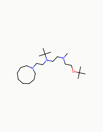 CN(CCOC(C)(C)C)CCN(CCN1CCCCCCCC1)C(C)(C)C